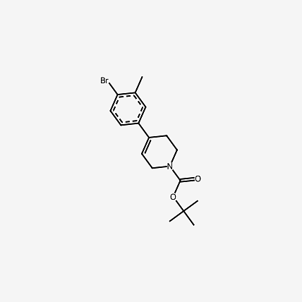 Cc1cc(C2=CCN(C(=O)OC(C)(C)C)CC2)ccc1Br